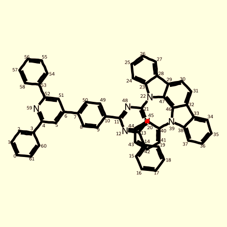 c1ccc(-c2cc(-c3ccc(-c4nc(-c5ccccc5)nc(-n5c6ccccc6c6ccc7c8ccccc8n(-c8ccccc8)c7c65)n4)cc3)cc(-c3ccccc3)n2)cc1